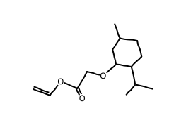 C=COC(=O)COC1CC(C)CCC1C(C)C